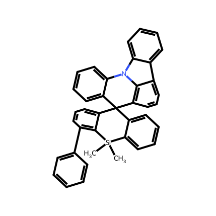 C[Si]1(C)c2ccccc2C2(c3ccccc3-n3c4ccccc4c4cccc2c43)c2cccc(-c3ccccc3)c21